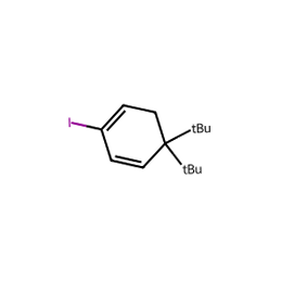 CC(C)(C)C1(C(C)(C)C)C=CC(I)=CC1